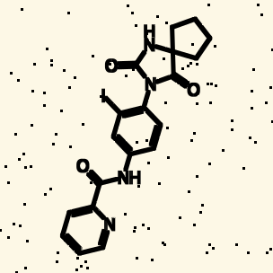 O=C(Nc1ccc(N2C(=O)NC3(CCCC3)C2=O)c(I)c1)c1ccccn1